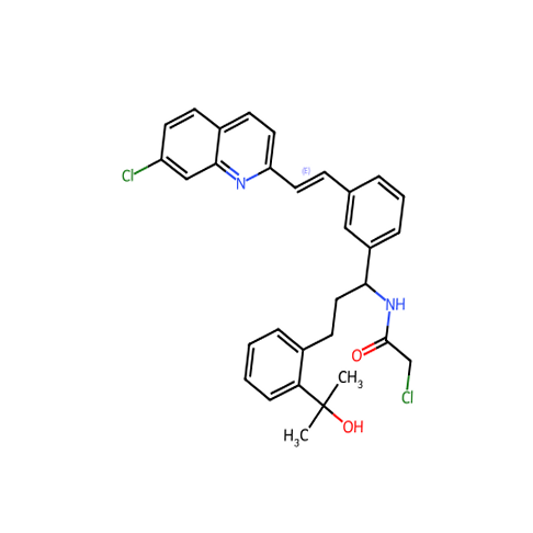 CC(C)(O)c1ccccc1CCC(NC(=O)CCl)c1cccc(/C=C/c2ccc3ccc(Cl)cc3n2)c1